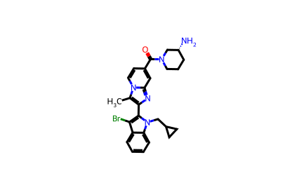 Cc1c(-c2c(Br)c3ccccc3n2CC2CC2)nc2cc(C(=O)N3CCC[C@@H](N)C3)ccn12